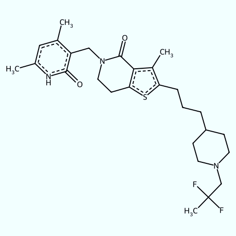 Cc1cc(C)c(CN2CCc3sc(CCCC4CCN(CC(C)(F)F)CC4)c(C)c3C2=O)c(=O)[nH]1